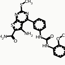 COc1ccccc1NC(=O)Nc1cccc(-c2nc(SC)nc3sc(C(N)=O)c(N)c23)c1